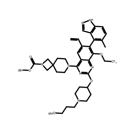 C=Cc1cc2c(N3CCC4(CC3)CN(C(=O)OC(C)(C)C)C4)nc(OC3CCN(CCCOC)CC3)nc2c(OCC(F)(F)F)c1-c1c(C)ccc2[nH]ncc12